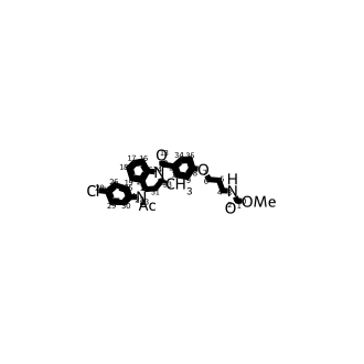 COC(=O)NCCCOc1ccc(C(=O)N2c3ccccc3C(N(C(C)=O)c3ccc(Cl)cc3)C[C@@H]2C)cc1